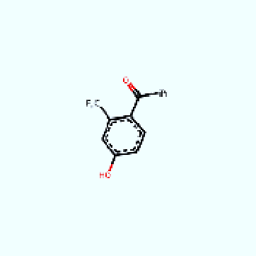 CC(C)C(=O)c1ccc(O)cc1C(F)(F)F